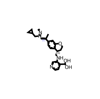 C=NN(/C=C(\C)c1ccc2c(c1)OCC[C@@H]2CNc1cnccc1C(O)O)CC1CC1